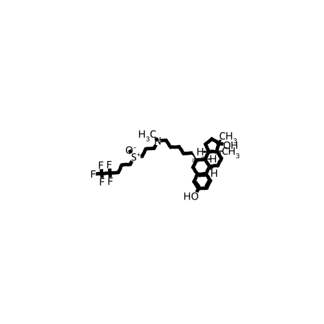 CN(CCCCC[C@@H]1Cc2cc(O)ccc2[C@H]2CC[C@@]3(C)[C@@H](CC[C@]3(C)O)[C@H]12)CCC[S+]([O-])CCCC(F)(F)C(F)(F)F